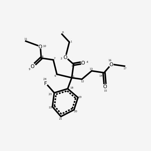 CCOC(=O)C(CCC(=O)OC)(CCC(=O)OC)c1ccccc1F